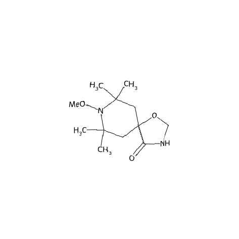 CON1C(C)(C)CC2(CC1(C)C)OCNC2=O